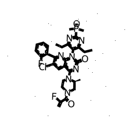 C=C(F)C(=O)N1CCN(c2nc(=O)n(-c3c(CC)nc(P(C)(C)=O)nc3CC)c3nc(-c4ccccc4F)c(Cl)cc23)[C@@H](C)C1